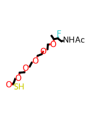 CC(=O)NCC(F)C(C)OCCOCCOCCOCCOCC(=O)S